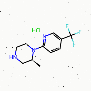 C[C@H]1CNCCN1c1ccc(C(F)(F)F)cn1.Cl